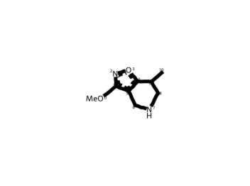 COc1noc2c1CNCC2C